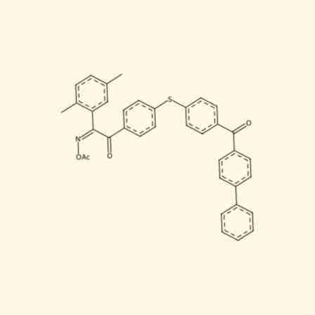 CC(=O)O/N=C(\C(=O)c1ccc(Sc2ccc(C(=O)c3ccc(-c4ccccc4)cc3)cc2)cc1)c1cc(C)ccc1C